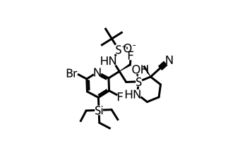 CC[Si](CC)(CC)c1cc(Br)nc([C@@](CF)(C[S@@]2(O)NCCC[C@@]2(C)C#N)N[S+]([O-])C(C)(C)C)c1F